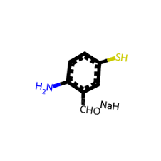 Nc1ccc(S)cc1C=O.[NaH]